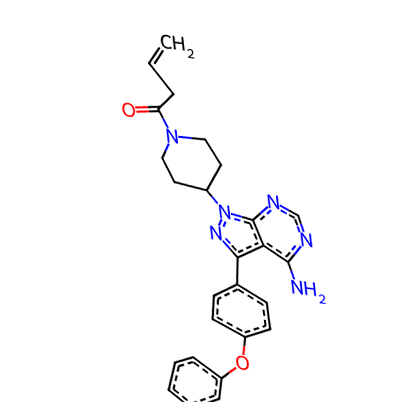 C=CCC(=O)N1CCC(n2nc(-c3ccc(Oc4ccccc4)cc3)c3c(N)ncnc32)CC1